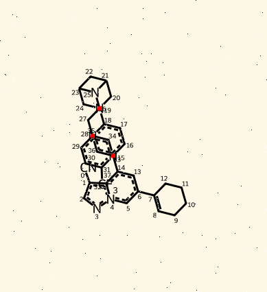 N#Cc1cnn2cc(C3=CCCCC3)cc(-c3ccc(N4CC5CC(C4)N5CCc4ccc(C(F)(F)F)nc4)nc3)c12